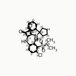 CN(C)S(=O)(=O)c1c(Cl)ccc(Nc2c(NC3(c4ccccc4)CCCC3)c(=O)c2=O)c1O